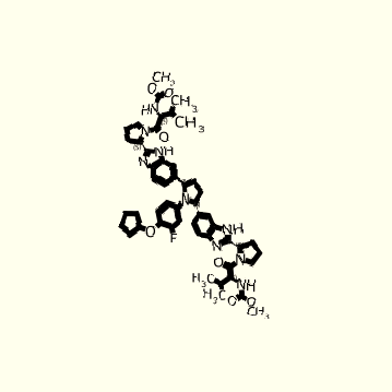 COC(=O)N[C@H](C(=O)N1CCC[C@H]1c1nc2ccc([C@H]3CC[C@H](c4ccc5nc([C@@H]6CCCN6C(=O)[C@@H](NC(=O)OC)C(C)C)[nH]c5c4)N3c3ccc(OC4CCCC4)c(F)c3)cc2[nH]1)C(C)C